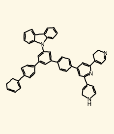 C1=CCCC(c2ccc(-c3cc(-c4ccc(-c5cc(C6=CCNC=C6)nc(C6=CC=NCC6)c5)cc4)cc(-n4c5ccccc5c5ccccc54)c3)cc2)=C1